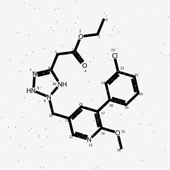 CCOC(=O)CC1=NNN(Cc2cnc(OC)c(-c3cccc(Cl)c3)c2)N1